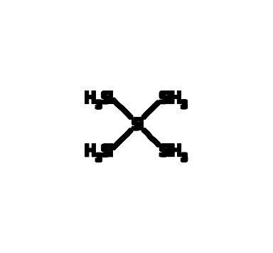 [SiH3][Si]([SiH3])([SiH3])[SiH3]